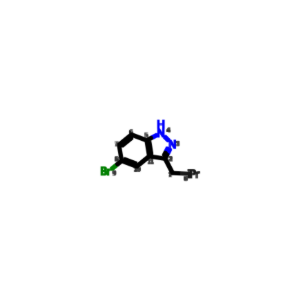 CC(C)Cc1n[nH]c2ccc(Br)cc12